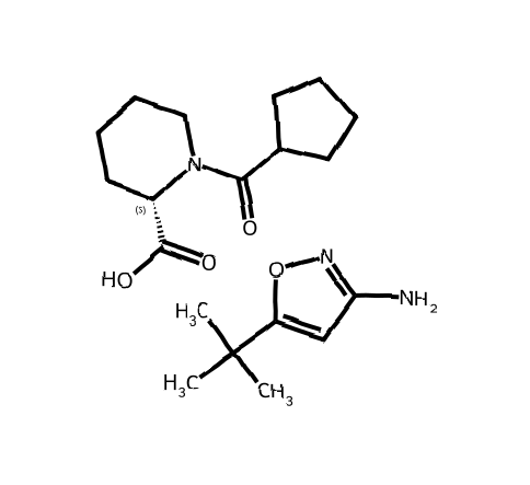 CC(C)(C)c1cc(N)no1.O=C(O)[C@@H]1CCCCN1C(=O)C1CCCC1